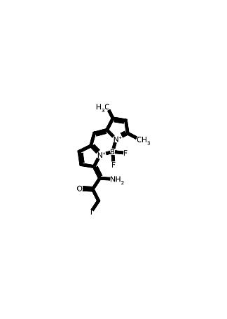 CC1=CC(C)=[N+]2C1=CC1=[N+](C(=C(N)C(=O)CI)C=C1)[B-]2(F)F